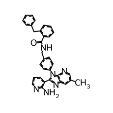 Cc1cnc2c(c1)nc(-c1cccnc1N)n2-c1ccc(CNC(=O)c2ccccc2Cc2ccccc2)cc1